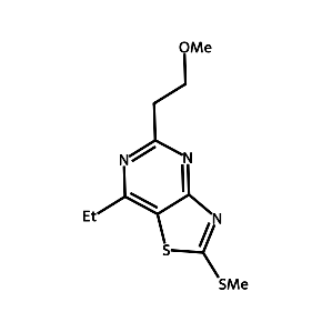 CCc1nc(CCOC)nc2nc(SC)sc12